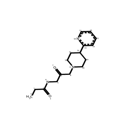 CCC(=O)[N]CC(=O)CN1CCC(c2ccccn2)CC1